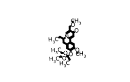 CCOC(CC)(OCC)Oc1cc2c(cc1OC)-c1cc(=O)c(COC)cn1C(CC)C2